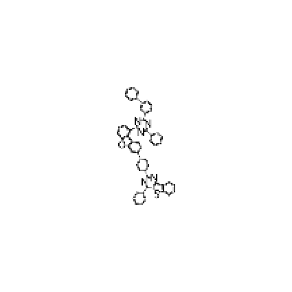 c1ccc(-c2cccc(-c3nc(-c4ccccc4)nc(-c4cccc5oc6cc(-c7ccc(-c8nc(-c9ccccc9)c9sc%10ccccc%10c9n8)cc7)ccc6c45)n3)c2)cc1